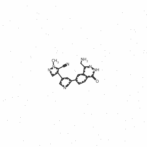 Cn1ncc(-c2cncc(-c3ccc4c(=O)[nH]nc(CN)c4c3)c2)c1C#N